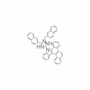 c1ccc2cc(CN3NC(n4c5ccccc5c5c6c7ccccc7ccc6c6ccccc6c54)NC3c3ccc4ccccc4c3)ccc2c1